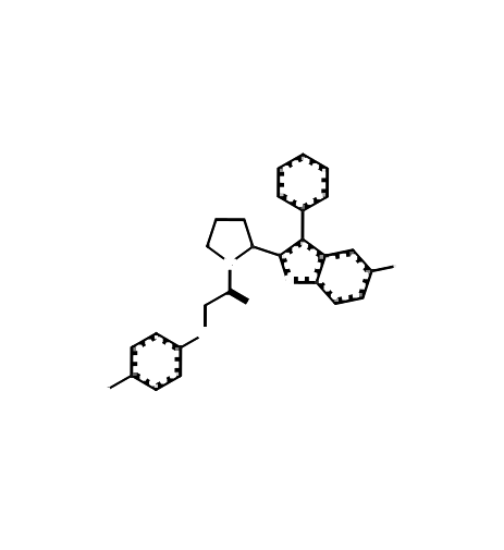 O=C(COc1ccc(Cl)cc1)N1CCCC1c1[nH]c2ccc(Cl)cc2c1-c1ccccc1